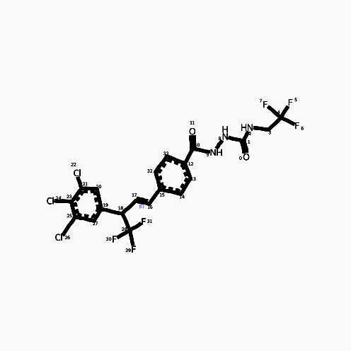 O=C(NCC(F)(F)F)NNC(=O)c1ccc(/C=C/C(c2cc(Cl)c(Cl)c(Cl)c2)C(F)(F)F)cc1